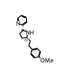 COc1ccc(CC[C@H]2CC[C@H](c3ccccn3)N2)cc1